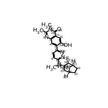 Cc1nc2cc(-c3ccc(N(C)[C@@H]4C[C@H]5CC[C@@H]([C@@H]4F)N5C)nn3)c(O)cc2c(=O)n1C